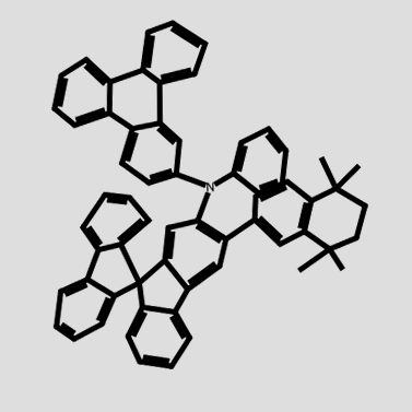 CC1(C)CCC(C)(C)c2cc(-c3cc4c(cc3N(c3ccccc3)c3ccc5c6ccccc6c6ccccc6c5c3)C3(c5ccccc5-c5ccccc53)c3ccccc3-4)ccc21